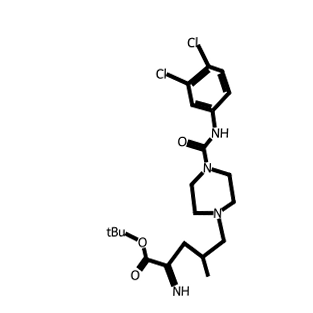 CC(CC(=N)C(=O)OC(C)(C)C)CN1CCN(C(=O)Nc2ccc(Cl)c(Cl)c2)CC1